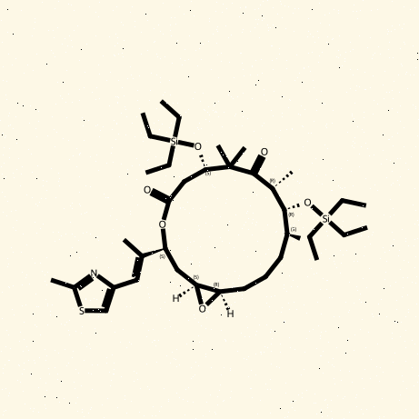 CC[Si](CC)(CC)O[C@@H]1[C@@H](C)CCC[C@H]2O[C@H]2C[C@@H](C(C)=Cc2csc(C)n2)OC(=O)C[C@H](O[Si](CC)(CC)CC)C(C)(C)C(=O)[C@@H]1C